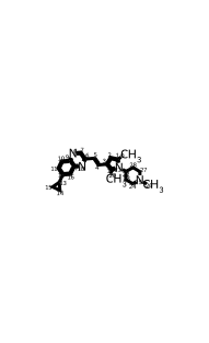 Cc1cc(C=Cc2cnc3ccc(C4CC4)cc3n2)c(C)n1C1CCN(C)CC1